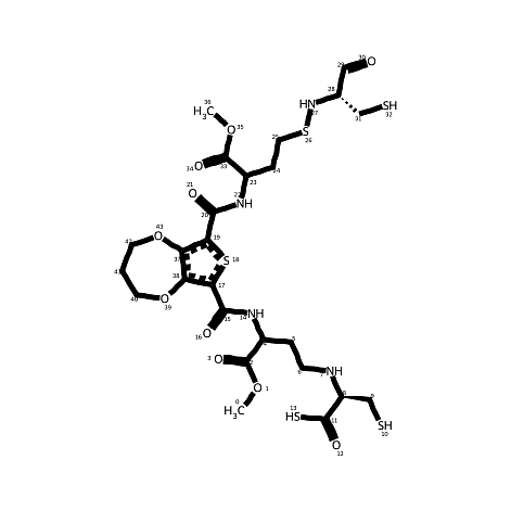 COC(=O)C(CCN[C@@H](CS)C(=O)S)NC(=O)c1sc(C(=O)NC(CCSN[C@H](C=O)CS)C(=O)OC)c2c1OCCCO2